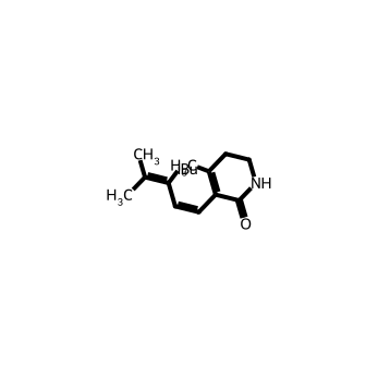 CCC(C)C(/C=C\C1=C(C)CCNC1=O)=C(C)C